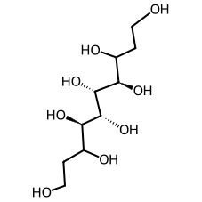 OCCC(O)[C@@H](O)[C@@H](O)[C@H](O)[C@H](O)C(O)CCO